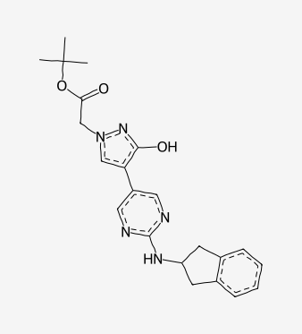 CC(C)(C)OC(=O)Cn1cc(-c2cnc(NC3Cc4ccccc4C3)nc2)c(O)n1